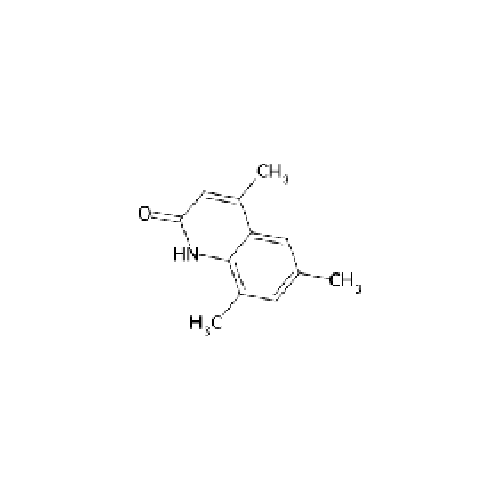 Cc1cc(C)c2[nH]c(=O)cc(C)c2c1